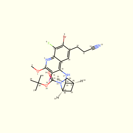 COc1nc2c(F)c(Br)c(CCC#N)cc2c(N[C@H]2[C@@H]3C[C@H]2N(C(=O)OC(C)(C)C)C3)c1I